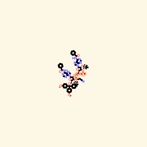 COc1ccc(C(OC[C@H]2O[C@@H](n3cnc4c(NC(=O)c5ccccc5)ncnc43)[C@H](OP(=S)(OCCC#N)OC[C@H]3OC(n4cnc5c(NC(=O)c6ccccc6)ncnc54)[C@H](O[Si](C)(C)C(C)(C)C)[C@@H]3O[PH](=O)O)[C@@H]2O[Si](C)(C)C(C)(C)C)(c2ccccc2)c2ccc(OC)cc2)cc1